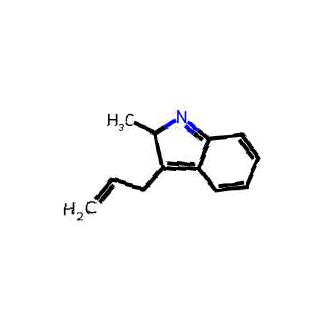 C=CCC1=c2ccccc2=N[C]1C